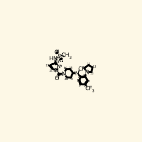 CN(c1ccc(C(F)(F)F)cc1N1CCCC1)C1CCN(C(=O)n2ccc(NS(C)(=O)=O)n2)CC1